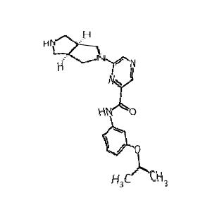 CC(C)Oc1cccc(NC(=O)c2cncc(N3C[C@H]4CNC[C@H]4C3)n2)c1